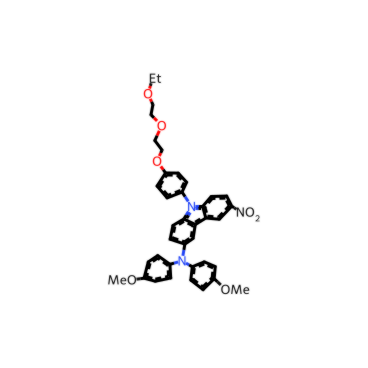 CCOCCOCCOc1ccc(-n2c3ccc(N(c4ccc(OC)cc4)c4ccc(OC)cc4)cc3c3cc([N+](=O)[O-])ccc32)cc1